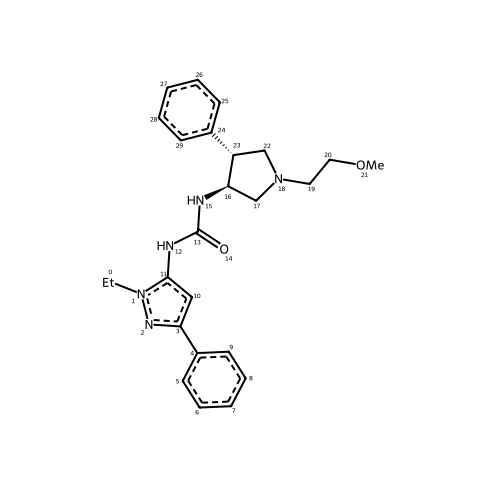 CCn1nc(-c2ccccc2)cc1NC(=O)N[C@@H]1CN(CCOC)C[C@H]1c1ccccc1